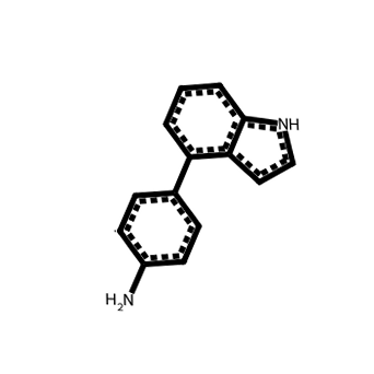 Nc1[c]cc(-c2cccc3[nH]ccc23)cc1